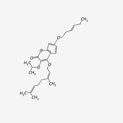 CCC=CCCOc1ccc2c(OCC=C(C)CCC=C(C)C)c(OC(C)C)c(=O)oc2c1